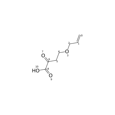 C=CCOCCC(=O)C(=O)O